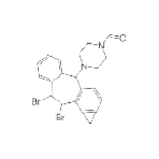 O=CN1CCN(C2c3ccccc3C(Br)C(Br)c3c2ccc2c3C2)CC1